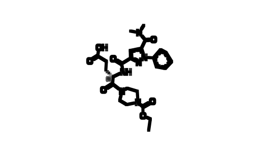 CCOC(=O)N1CCN(C(=O)[C@H](CCC(=O)O)NC(=O)c2cc(C(=O)N(C)C)n(-c3ccccc3)n2)CC1